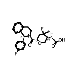 O=C(O)N[C@H]1CO[C@H](C(=O)N2CCc3ccccc3[C@@H]2c2ccc(F)cc2)CC1(F)F